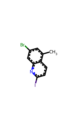 Cc1cc(Br)cc2nc(I)ccc12